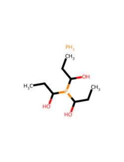 CCC(O)P(C(O)CC)C(O)CC.P